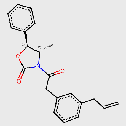 C=CCc1cccc(CC(=O)N2C(=O)O[C@@H](c3ccccc3)[C@@H]2C)c1